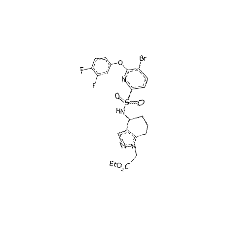 CCOC(=O)Cn1ncc2c1CCCC2NS(=O)(=O)c1ccc(Br)c(Oc2ccc(F)c(F)c2)n1